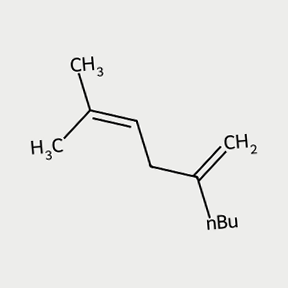 C=C(CC=C(C)C)CCCC